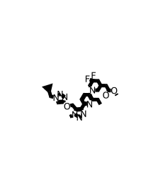 CCc1nc(-c2nnn(C)c2COc2cn(CC3CC3)nn2)ccc1N1CC(CC(=O)OC)CC(F)(F)C1